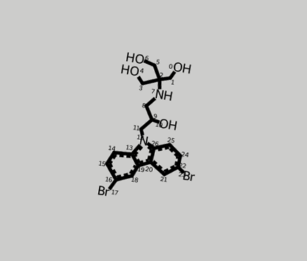 OCC(CO)(CO)NCC(O)Cn1c2ccc(Br)cc2c2cc(Br)ccc21